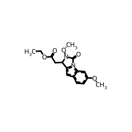 CCOC(=O)CC1c2cc3ccc(OC)cc3n2C(=O)N1OC